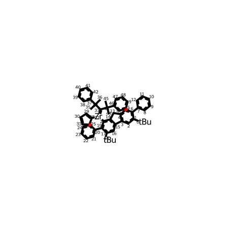 CC(C)(C)c1cc2c(cc1-c1ccccc1)Cc1c-2cc(C(C)(C)C)c(-c2ccccc2)[c]1[Zr]([C]1=CC=CC1)=[C](C(C)(C)c1ccccc1)C(C)(C)c1ccccc1